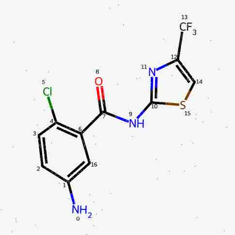 Nc1ccc(Cl)c(C(=O)Nc2nc(C(F)(F)F)cs2)c1